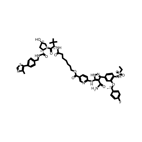 CCS(=O)(=O)Nc1ccc(-c2n[nH]c(Nc3ccc(C(=O)OCCCCCCC(=O)N[C@H](C(=O)N4C[C@H](O)C[C@H]4C(=O)NCc4ccc(-c5scnc5C)cc4)C(C)(C)C)cn3)c2C(N)=O)cc1O[C@@H](C)c1ccc(F)cc1